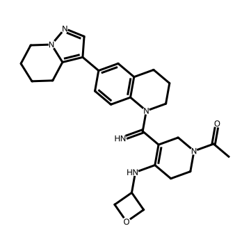 CC(=O)N1CCC(NC2COC2)=C(C(=N)N2CCCc3cc(-c4cnn5c4CCCC5)ccc32)C1